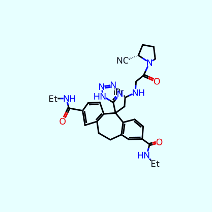 CCNC(=O)c1ccc2c(c1)CCc1cc(C(=O)NCC)ccc1C2(C[C@@H](NCC(=O)N1CCC[C@H]1C#N)C(C)C)c1nnn[nH]1